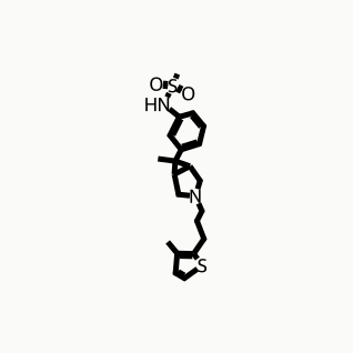 Cc1ccsc1CCCN1CC2C(C1)C2(C)c1cccc(NS(C)(=O)=O)c1